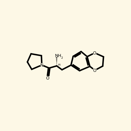 N[C@H](Cc1ccc2c(c1)OCCO2)C(=O)N1CCCC1